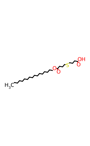 CCCCCCCCCCCCCCCCCOC(=O)CCCSCCCC(=O)O